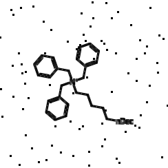 CCCCCCCCCCCCCCC[N+](Cc1ccccc1)(Cc1ccccc1)Cc1ccccc1